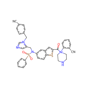 N#Cc1ccc(Cn2cncc2CN(c2ccc3sc(C(=O)[N+]4(c5ccccc5C#N)CCNCC4)cc3c2)S(=O)(=O)c2ccccc2)cc1